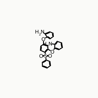 Nc1ccccc1Oc1ccc(S(=O)(=O)c2ccccc2)c(Oc2ccccc2N)c1